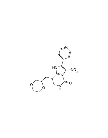 O=C1NCC(C[C@@H]2COCCO2)c2[nH]c(-c3ccncn3)c([N+](=O)[O-])c21